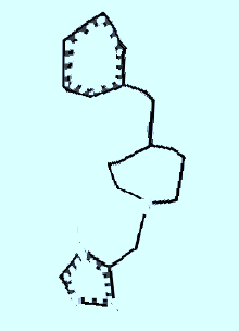 c1ccc(CC2CCN(Cc3nnc[nH]3)CC2)cc1